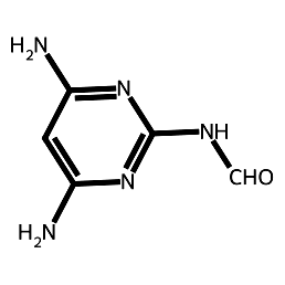 Nc1cc(N)nc(NC=O)n1